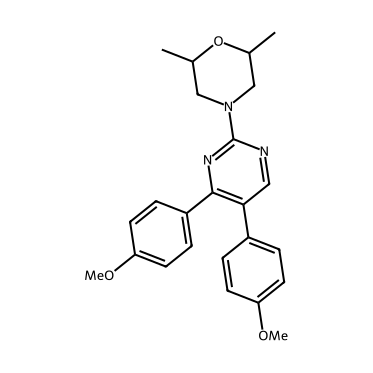 COc1ccc(-c2cnc(N3CC(C)OC(C)C3)nc2-c2ccc(OC)cc2)cc1